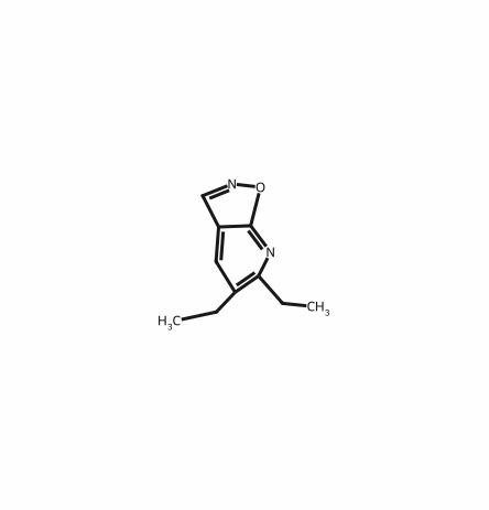 CCc1cc2cnoc2nc1CC